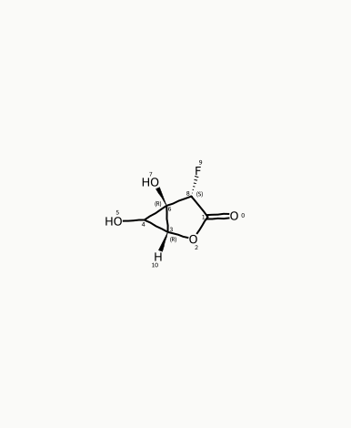 O=C1O[C@@H]2C(O)[C@]2(O)[C@@H]1F